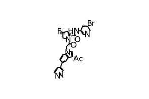 CC(=O)c1cn(CC(=O)N2C[C@H](F)C[C@H]2C(=O)Nc2cncc(Br)c2)c2ccc(-c3ccnnc3)cc12